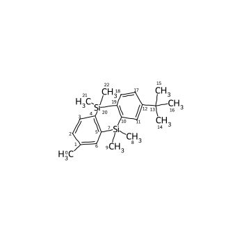 Cc1ccc2c(c1)[Si](C)(C)c1cc(C(C)(C)C)ccc1[Si]2(C)C